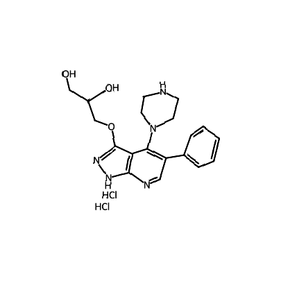 Cl.Cl.OCC(O)COc1n[nH]c2ncc(-c3ccccc3)c(N3CCNCC3)c12